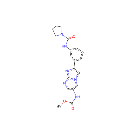 CC(C)OC(=O)Nc1cnc2nc(-c3cccc(NC(=O)N4CCCC4)c3)cn2c1